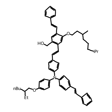 CCCCC(CC)COc1ccc(N(c2ccc(C=Cc3ccccc3)cc2)c2ccc(C=Cc3cc(OCCC(C)CCCC(C)C)c(C=Cc4ccccc4)cc3CO)cc2)cc1